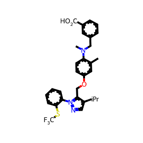 Cc1cc(OCc2c(C(C)C)cnn2-c2ccccc2SC(F)(F)F)ccc1N(C)Cc1cccc(C(=O)O)c1